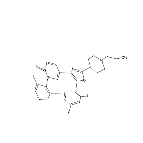 Cc1cccc(C)c1-n1cc(-c2nc(C3CCN(CCO)CC3)oc2-c2ccc(F)cc2F)ccc1=O